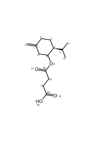 C=C1CC[C@@H](C(C)C)C(OC(=O)CCC(=O)O)C1